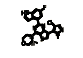 C[C@@H]1COCCN1c1nc(-c2cc(F)cc3[nH]ccc23)nc2c(-c3c(Cl)cnn3C)csc12